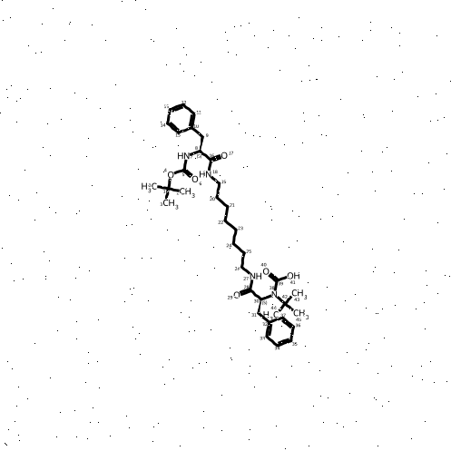 CC(C)(C)OC(=O)N[C@@H](Cc1ccccc1)C(=O)NCCCCCCCCNC(=O)[C@H](Cc1ccccc1)N(C(=O)O)C(C)(C)C